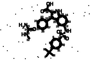 CC(C)(C)c1ccc(S(=O)(=O)Nc2ccc3[nH]c(C(=O)O)c(-c4ccccc4)c3c2)cc1.CNC(N)=O